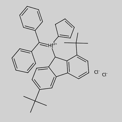 CC(C)(C)c1ccc2c(c1)-c1cccc(C(C)(C)C)c1[CH]2[Hf+2]([C]1=CC=CC1)=[C](c1ccccc1)c1ccccc1.[Cl-].[Cl-]